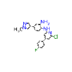 Cn1cc(-c2ccc(Nc3cc(-c4ccc(F)cc4)cc(Cl)n3)c(N)c2)cn1